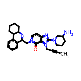 CC#CCn1c(N2CCCC(N)C2)nc2ccn(CC3=NC4CCCCC4c4ccccc43)c(=O)c21